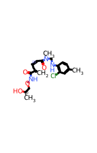 C=C(/C=C\C(=O)N(C)CNc1ccc(C)cc1Cl)C(=O)NOC[C@H](C)O